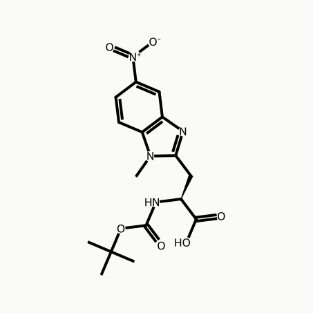 Cn1c(C[C@H](NC(=O)OC(C)(C)C)C(=O)O)nc2cc([N+](=O)[O-])ccc21